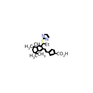 CCC(Sc1ncccn1)c1cc2c(cc1C=Cc1ccc(C(=O)O)cc1)C(C)(C)CCC2(C)C